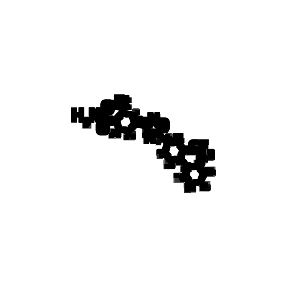 CCc1cc(-c2noc(-c3ccc(-c4ccccc4F)c(C(F)(F)F)c3)n2)ccc1S(N)(=O)=O